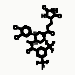 CN(C(=O)c1cc(C(F)(F)F)cc(C(F)(F)F)c1)[C@@H]1CCN(C(=O)CCC2NC(=O)NC2=O)C[C@H]1c1ccc(Cl)c(Cl)c1